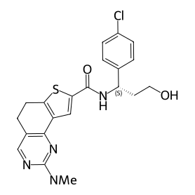 CNc1ncc2c(n1)-c1cc(C(=O)N[C@@H](CCO)c3ccc(Cl)cc3)sc1CC2